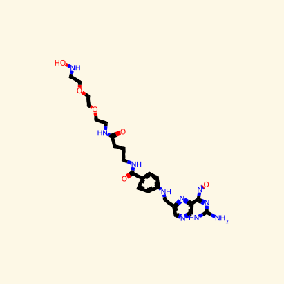 NC1N=C(N=O)c2nc(CNc3ccc(C(=O)NCCCC(=O)NCCOCCOCCNO)cc3)cnc2N1